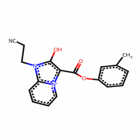 Cc1cccc(OC(=O)c2c(O)n(CCC#N)c3cccc[n+]23)c1